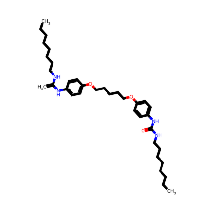 C=C(NCCCCCCCC)Nc1ccc(OCCCCCOc2ccc(NC(=O)NCCCCCCCC)cc2)cc1